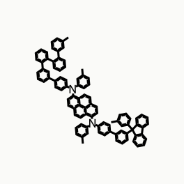 Cc1cccc(-c2ccccc2-c2ccccc2-c2cccc(-c3ccc(N(c4cccc(C)c4)c4ccc5ccc6c(N(c7ccc(-c8cccc(C9(c%10cccc(C)c%10)c%10ccccc%10-c%10ccccc%109)c8)cc7)c7cccc(C)c7)ccc7ccc4c5c76)cc3)c2)c1